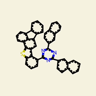 c1ccc2c(c1)-c1cccc3c1c-2cc1c3sc2cccc(-c3nc(-c4ccc5ccccc5c4)nc(-c4ccc5ccccc5c4)n3)c21